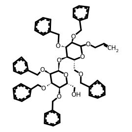 C=CCOC1O[C@H](COCc2ccccc2)[C@@H](O[C@H]2O[C@H](CO)[C@@H](OCc3ccccc3)[C@H](OCc3ccccc3)[C@H]2OCc2ccccc2)[C@H](OCc2ccccc2)[C@H]1OCc1ccccc1